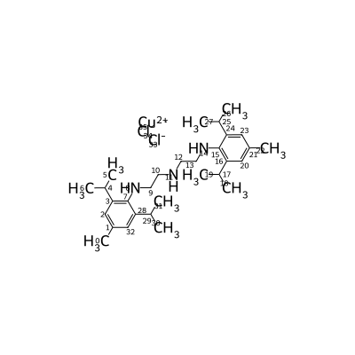 Cc1cc(C(C)C)c(NCCNCCNc2c(C(C)C)cc(C)cc2C(C)C)c(C(C)C)c1.[Cl-].[Cl-].[Cu+2]